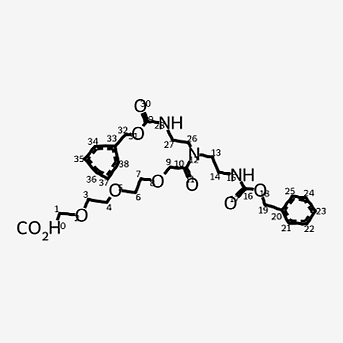 O=C(O)COCCOCCOCC(=O)N(CCNC(=O)OCc1ccccc1)CCNC(=O)OCc1ccccc1